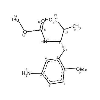 COc1ccc(N)cc1C[C@H](NC(=O)OC(C)(C)C)C(C)C(=O)O